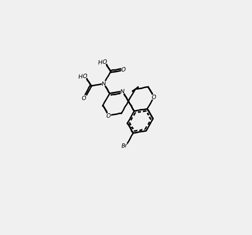 O=C(O)N(C(=O)O)C1=NC2(COC1)c1cc(Br)ccc1OCC21CC1